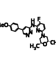 COc1ccc(-c2cnnc(Nc3nc(N4C[C@@H](C)O[C@@H](C)C4)ccc3F)c2)cc1